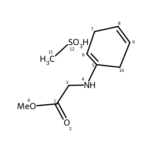 COC(=O)CNC1=CCC=CC1.CS(=O)(=O)O